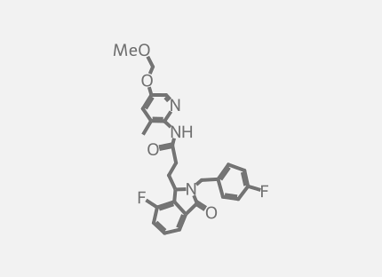 COCOc1cnc(NC(=O)CCC2c3c(F)cccc3C(=O)N2Cc2ccc(F)cc2)c(C)c1